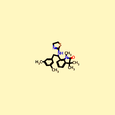 Cc1cc(C)cc(CC(NC2=NCCS2)c2cccc3c2N(C)C(=O)C3(C)C)c1